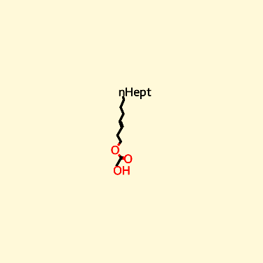 CCCCCCCCCCC=CCCOC(=O)CO